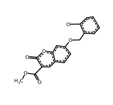 COC(=O)c1cc2ccc(OCc3ccccc3Cl)cc2oc1=O